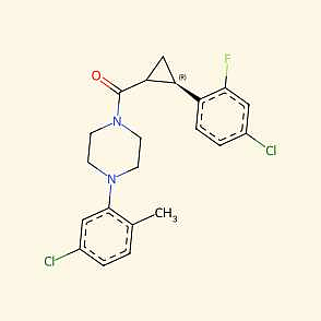 Cc1ccc(Cl)cc1N1CCN(C(=O)C2C[C@H]2c2ccc(Cl)cc2F)CC1